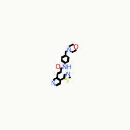 O=C(C=Cc1cnccc1-c1cncs1)Nc1ccc(CN2CCOCC2)cc1